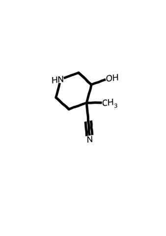 CC1(C#N)CCNCC1O